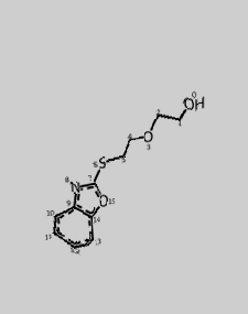 OCCOCCSc1nc2ccccc2o1